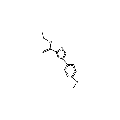 CCOC(=O)c1cn(-c2ccc(OC)cc2)cn1